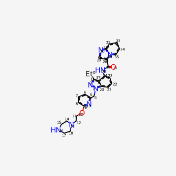 CCc1nn(Cc2cccc(OCCN3CCNCC3)n2)c2cccc(NC(=O)c3cnc4ccccn34)c12